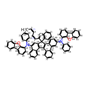 C=C(/C=C\C=C/C)C1(c2ccccc2)c2cc(N(c3ccccc3)c3cccc4c3oc3ccccc34)c3ccccc3c2-c2c1c1ccc(N(c3ccccc3)c3cccc4c3oc3ccccc34)cc1c1ccccc21